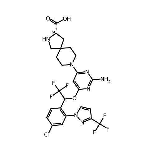 Nc1nc(OC(c2ccc(Cl)cc2-n2ccc(C(F)(F)F)n2)C(F)(F)F)cc(N2CCC3(CC2)CN[C@H](C(=O)O)C3)n1